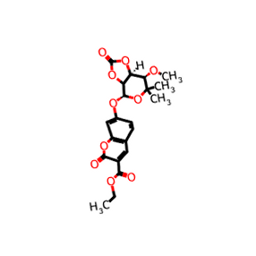 CCOC(=O)c1cc2ccc(O[C@@H]3OC(C)(C)[C@H](OC)[C@@H]4OC(=O)OC34)cc2oc1=O